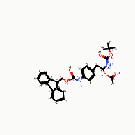 CC(=O)OC(Cc1ccc(NC(=O)OCC2c3ccccc3-c3ccccc32)cc1)NC(=O)OC(C)(C)C